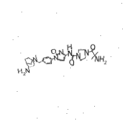 CN(Cc1ccc(-n2ccc(NC(=O)N3CCN(C(=O)C(C)(C)N)CC3)nc2=O)cc1)C12CCC(N)C(CC1)C2